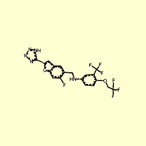 Fc1cc2oc(-c3nnn[nH]3)cc2cc1CNc1ccc(OCC(F)(F)F)c(C(F)(F)F)c1